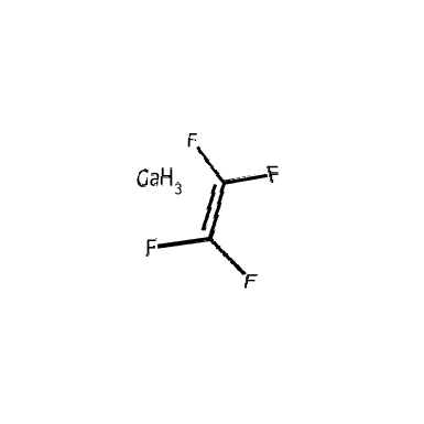 FC(F)=C(F)F.[GaH3]